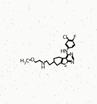 COCCNCCC1CCc2c(sc3ncnc(Nc4ccc(F)c(Cl)c4)c23)C1